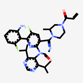 C=CC(=O)N1CCN(/C(=N/C)c2cc(F)c(-c3c(N)cccc3F)nc2N(C=O)c2c(C(C)C)ncnc2C(C)C)C(C)C1